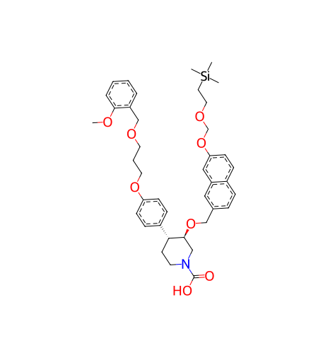 COc1ccccc1COCCCOc1ccc([C@H]2CCN(C(=O)O)C[C@@H]2OCc2ccc3ccc(OCOCC[Si](C)(C)C)cc3c2)cc1